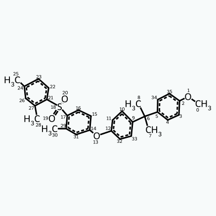 COc1ccc(C(C)(C)c2ccc(Oc3ccc(S(=O)(=O)c4ccc(C)cc4C)c(C)c3)cc2)cc1